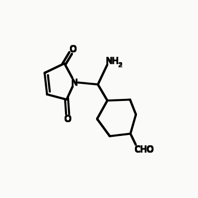 NC(C1CCC(C=O)CC1)N1C(=O)C=CC1=O